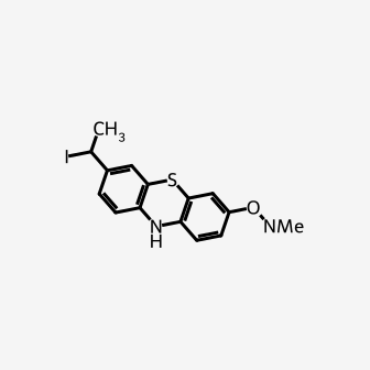 CNOc1ccc2c(c1)Sc1cc(C(C)I)ccc1N2